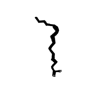 CCCC/C=C\CCCCCCCC(=O)F